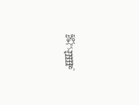 CCC1(CC)OCC(CCC(F)(F)C(F)(F)C(F)(F)C(F)(F)C(F)(F)C(F)(F)F)CO1